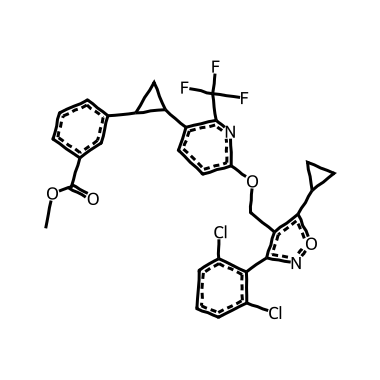 COC(=O)c1cccc(C2CC2c2ccc(OCc3c(-c4c(Cl)cccc4Cl)noc3C3CC3)nc2C(F)(F)F)c1